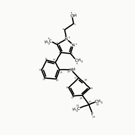 Cc1nn(CCO)c(C)c1-c1ccccc1Nc1ccc(C(C)(C)F)cc1